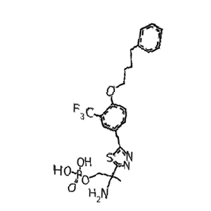 CC(N)(COP(=O)(O)O)c1nnc(-c2ccc(OCCCCc3ccccc3)c(C(F)(F)F)c2)s1